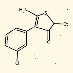 CCC1SC(N)=C(c2cccc(Cl)c2)C1=O